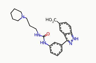 O=C(NCCCN1CCCCC1)Nc1cccc(-c2n[nH]c3ccc(C(=O)O)cc23)c1